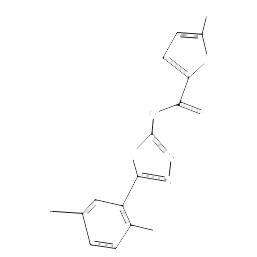 O=C(Nc1nnc(-c2cc(Cl)ccc2Cl)o1)c1ccc(Br)s1